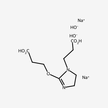 O=C(O)CCOC1=NCCN1CCC(=O)O.[Na+].[Na+].[OH-].[OH-]